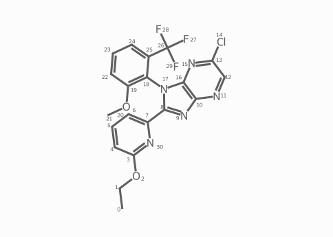 CCOc1cccc(-c2nc3ncc(Cl)nc3n2-c2c(OC)cccc2C(F)(F)F)n1